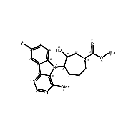 COc1ncnc2c3cc(Cl)ccc3n(C3CCCN(C(=O)OC(C)(C)C)CC3O)c12